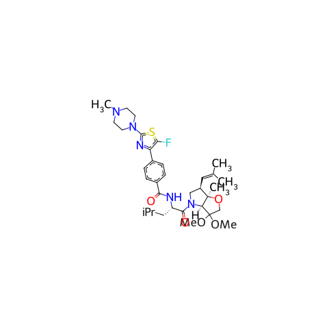 COC1(OC)CO[C@]2(C)[C@H](C=C(C)C)CN(C(=O)[C@H](CC(C)C)NC(=O)c3ccc(-c4nc(N5CCN(C)CC5)sc4F)cc3)[C@H]12